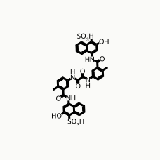 Cc1ccc(NC(=O)C(=O)Nc2ccc(C)c(C(=O)Nc3cc(O)c(S(=O)(=O)O)c4ccccc34)c2)cc1C(=O)Nc1cc(O)c(S(=O)(=O)O)c2ccccc12